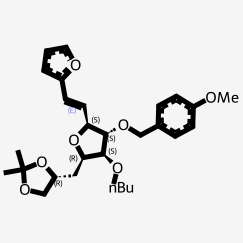 CCCCO[C@@H]1[C@@H](OCc2ccc(OC)cc2)[C@H](/C=C/c2ccco2)O[C@@H]1C[C@@H]1COC(C)(C)O1